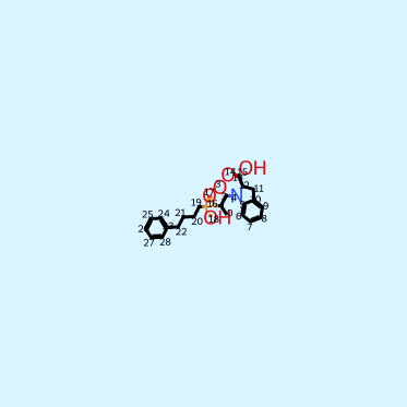 CC(C(=O)N1c2ccccc2CC1C(=O)O)P(=O)(O)CCCCc1ccccc1